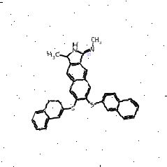 C/N=C1\NC(C)c2cc3cc(SC4=Cc5ccccc5CC4)c(SC4=C=C=c5ccccc5=C4)cc3cc21